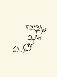 CC(=O)c1[nH]c2ccccc2c1NC(=O)CN1CCN(Cc2ccccc2)CC1